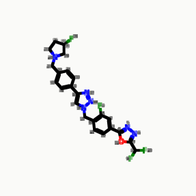 Fc1cc(-c2nnc(C(F)F)o2)ccc1Cn1cc(-c2ccc(CN3CC[C@@H](F)C3)cc2)nn1